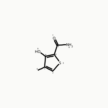 Cc1csc(C(N)=O)c1O